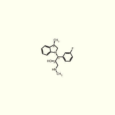 CNC[C@@H](O)[C@H](c1cccc(F)c1)N1C[C@H](C)c2ccccc21